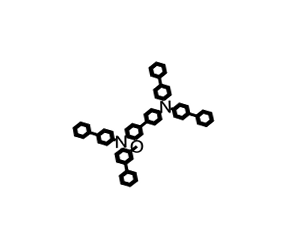 c1ccc(-c2ccc(N(c3ccc(-c4ccccc4)cc3)c3ccc(-c4ccc5c(c4)Oc4cc(-c6ccccc6)ccc4N5c4ccc(-c5ccccc5)cc4)cc3)cc2)cc1